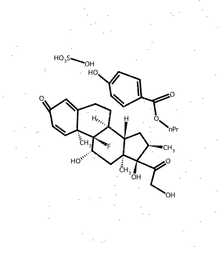 CCCOC(=O)c1ccc(O)cc1.C[C@@H]1C[C@H]2[C@@H]3CCC4=CC(=O)C=C[C@]4(C)[C@@]3(F)[C@@H](O)C[C@]2(C)[C@@]1(O)C(=O)CO.O=S(=O)(O)O